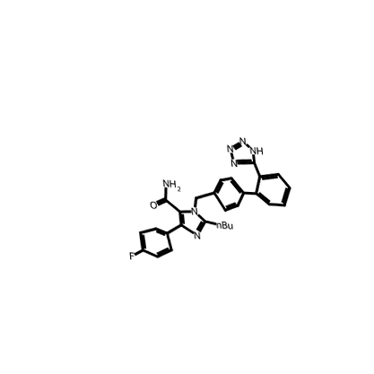 CCCCc1nc(-c2ccc(F)cc2)c(C(N)=O)n1Cc1ccc(-c2ccccc2-c2nnn[nH]2)cc1